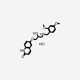 COc1ccc(CNCC(O)COc2ccc3[nH]c(=O)ccc3c2)c(OC)c1.Cl